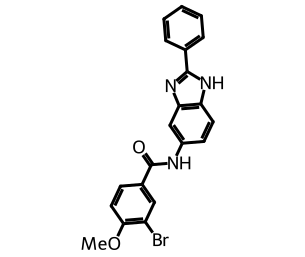 COc1ccc(C(=O)Nc2ccc3[nH]c(-c4ccccc4)nc3c2)cc1Br